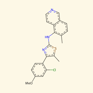 COc1ccc(-c2nc(Nc3c(C)ccc4cnccc34)sc2C)c(Cl)c1